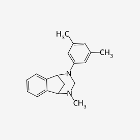 Cc1cc(C)cc(N2CN(C)C3CC2c2ccccc23)c1